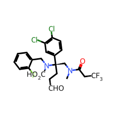 CN(C[C@](CCC=O)(c1ccc(Cl)c(Cl)c1)N(Cc1ccccc1F)C(=O)O)C(=O)CC(F)(F)F